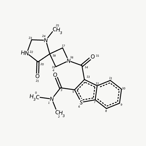 CN(C)C(=O)c1sc2ccccc2c1C(=O)N1CC2(C1)C(=O)NCN2C